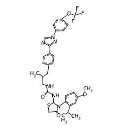 COc1ccc(N2C(=O)CSC2NC(=O)NCC(C)Cc2ccc(-c3ncn(-c4ccc(OC(F)(F)F)cc4)n3)cc2)c(C(C)C)c1